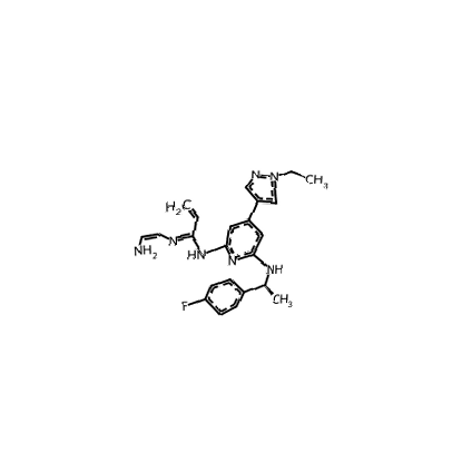 C=C/C(=N\C=C/N)Nc1cc(-c2cnn(CC)c2)cc(N[C@@H](C)c2ccc(F)cc2)n1